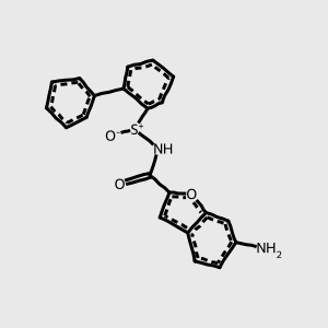 Nc1ccc2cc(C(=O)N[S+]([O-])c3ccccc3-c3ccccc3)oc2c1